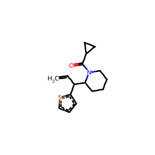 C=CC(c1cccs1)C1CCCCN1C(=O)C1CC1